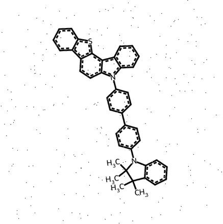 CC1(C)c2ccccc2N(c2ccc(-c3ccc(-n4c5ccccc5c5c6sc7ccccc7c6ccc54)cc3)cc2)C1(C)C